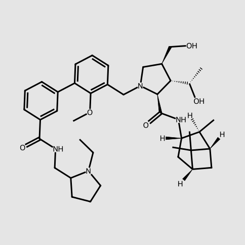 CCN1CCCC1CNC(=O)c1cccc(-c2cccc(CN3C[C@@H](CO)[C@H]([C@H](C)O)[C@H]3C(=O)N[C@H]3C[C@H]4C[C@@H]([C@@H]3C)C4(C)C)c2OC)c1